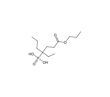 CCCOC(=O)CCC(CC)(CCC)P(=O)(O)O